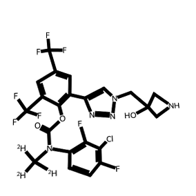 [2H]C([2H])([2H])N(C(=O)Oc1c(-c2cn(CC3(O)CNC3)nn2)cc(C(F)(F)F)cc1C(F)(F)F)c1ccc(F)c(Cl)c1F